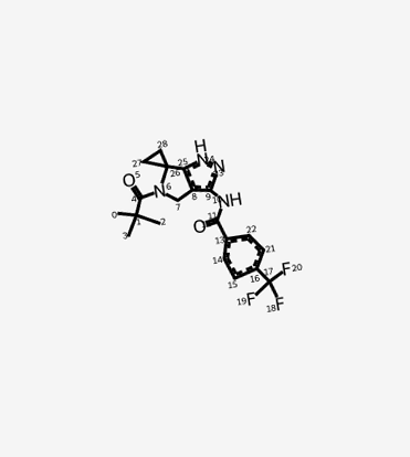 CC(C)(C)C(=O)N1Cc2c(NC(=O)c3ccc(C(F)(F)F)cc3)n[nH]c2C12CC2